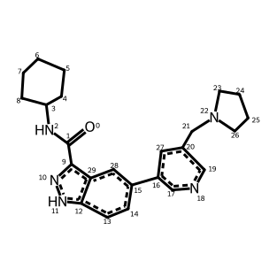 O=C(NC1CCCCC1)c1n[nH]c2ccc(-c3cncc(CN4CCCC4)c3)cc12